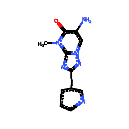 Cn1c(=O)c(N)cn2nc(-c3cccnc3)nc12